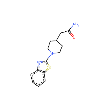 NC(=O)CC1CCN(c2nc3ccccc3s2)CC1